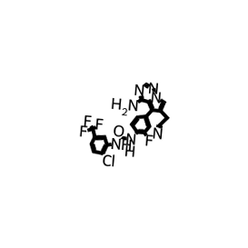 N#CCc1cn2ncnc(N)c2c1-c1ccc(NC(=O)Nc2cc(C(F)(F)F)ccc2Cl)c(F)c1